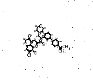 CN(C)c1ccc(-c2cccc(C(CN3CCOCC3)N(C)C(=O)CN3C(=O)COc4cc(Cl)c(Cl)cc43)c2)cc1